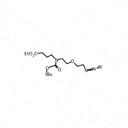 CCOC(=O)CCCN(CCOCCN=[N+]=[N-])C(=O)OC(C)(C)C